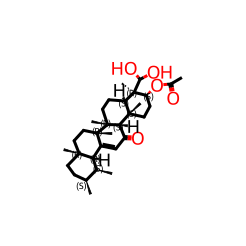 CC(=O)O[C@H]1CC[C@@]2(C)[C@H](CC[C@]3(C)[C@H]2C(=O)C=C2[C@@H]4[C@@H](C)[C@@H](C)CC[C@]4(C)CC[C@@]23C)[C@@]1(C)C(O)O